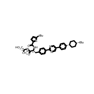 C[C@@H](NC(=O)[C@H](Cc1ccc(-c2ncc(-c3ccc([C@H]4CC[C@@H](C(C)(C)C)CC4)cc3)cn2)cc1)NC(=O)c1ccc(C(C)(C)C)s1)C(=O)O